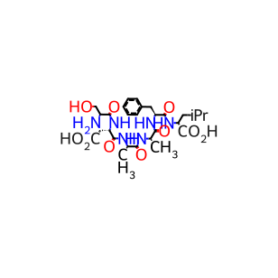 CC(C)C[C@H](NC(=O)[C@H](Cc1ccccc1)NC(=O)[C@H](C)NC(=O)[C@H](C)NC(=O)[C@H](CC(=O)O)NC(=O)[C@@H](N)CO)C(=O)O